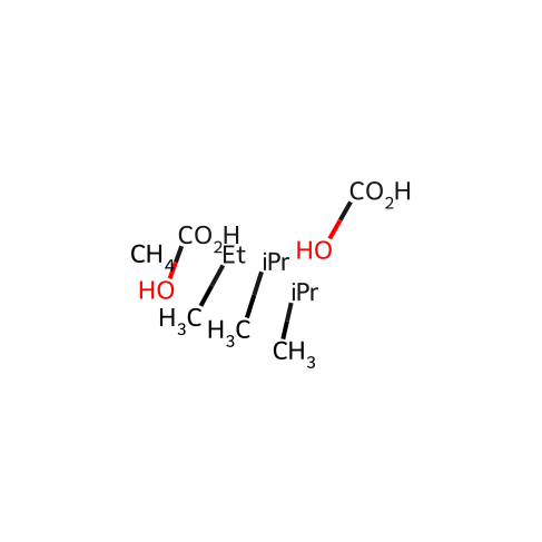 C.CC(C)C.CC(C)C.CCC.O=C(O)O.O=C(O)O